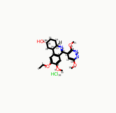 CCOc1cc2c(cc1OC)C(c1cc(OC)nnc1OC)=N[C@@H]1CC[C@@H](O)CC21.Cl